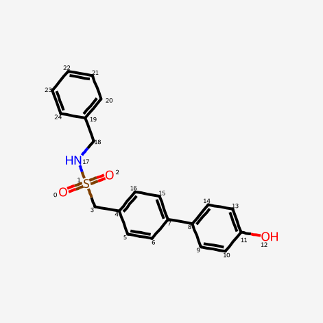 O=S(=O)(Cc1ccc(-c2ccc(O)cc2)cc1)NCc1ccccc1